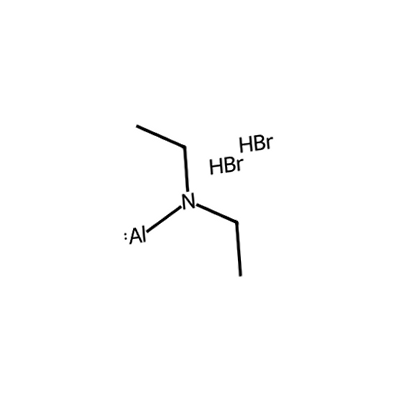 Br.Br.CC[N]([Al])CC